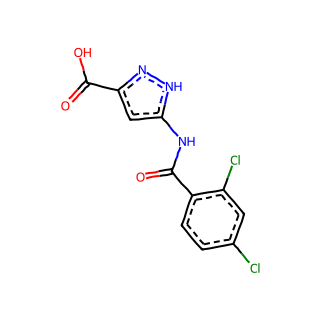 O=C(O)c1cc(NC(=O)c2ccc(Cl)cc2Cl)[nH]n1